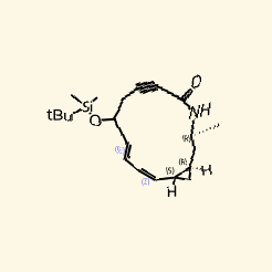 C[C@@H]1C[C@H]2C[C@@H]2/C=C\C=C\C(O[Si](C)(C)C(C)(C)C)CC#CC(=O)N1